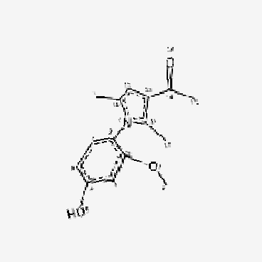 COc1cc(O)ccc1-n1c(C)cc(C(C)=O)c1C